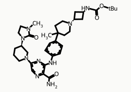 CN1CCN([C@@H]2CCCN(c3cnc(C(N)=O)c(Nc4ccc(C5(C)CCN([C@H]6C[C@H](NC(=O)OC(C)(C)C)C6)CC5)cc4)n3)C2)C1=O